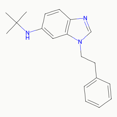 CC(C)(C)Nc1ccc2ncn(CCc3ccccc3)c2c1